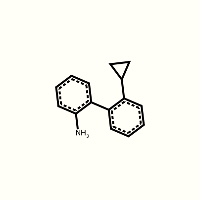 Nc1ccccc1-c1ccccc1C1CC1